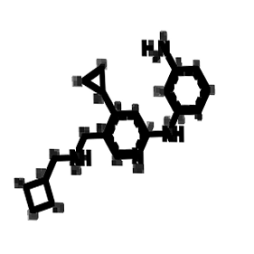 Nc1cccc(Nc2cc(C3CC3)c(CNCC3CCC3)cn2)c1